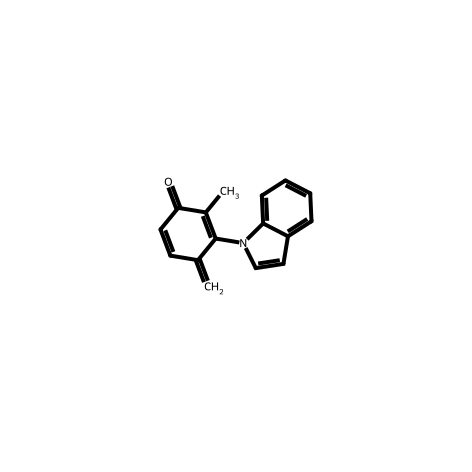 C=C1C=CC(=O)C(C)=C1n1ccc2ccccc21